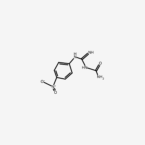 N=C(NC(N)=O)Nc1ccc([N+](=O)[O-])cc1